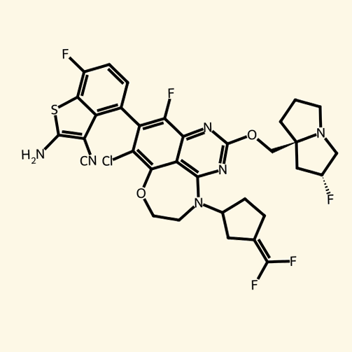 N#Cc1c(N)sc2c(F)ccc(-c3c(Cl)c4c5c(nc(OC[C@@]67CCCN6C[C@H](F)C7)nc5c3F)N(C3CCC(=C(F)F)C3)CCO4)c12